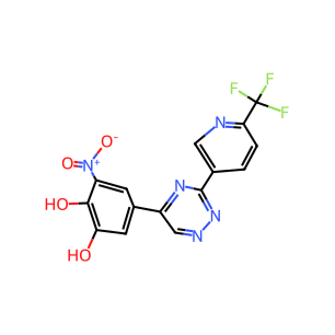 O=[N+]([O-])c1cc(-c2cnnc(-c3ccc(C(F)(F)F)nc3)n2)cc(O)c1O